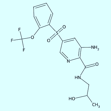 CC(O)CNC(=O)c1ncc(S(=O)(=O)c2ccccc2OC(F)(F)F)cc1N